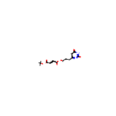 CC(C)(C)OC(=O)/C=C/C(=O)OCCCc1cc(=O)[nH]c(=O)[nH]1